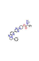 CC(C)[C@H](N)C(=O)OC1CCN(c2ncc(-c3ccc4nc5n(c4n3)[C@@H](c3ccccc3)CC5)cn2)CC1